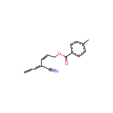 C=C/C=C(C#N)\C=C/COC(=O)c1ccc(C)cc1